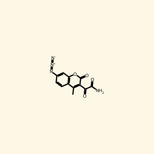 Cc1c(C(=O)C(N)=O)c(=O)oc2cc(N=[N+]=[N-])ccc12